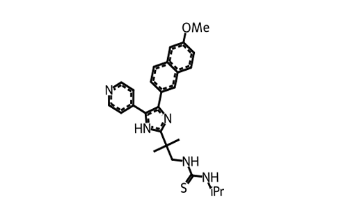 COc1ccc2cc(-c3nc(C(C)(C)CNC(=S)NC(C)C)[nH]c3-c3ccncc3)ccc2c1